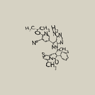 Cc1csc2cc([C@H](C)n3nc(-c4cnc(OC(C)C)c(C#N)c4)c4c(N)ncnc43)c(-c3ccccc3)c(=O)n12